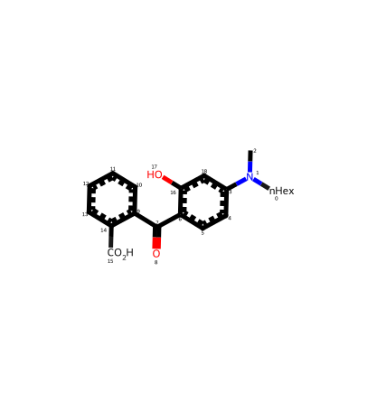 CCCCCCN(C)c1ccc(C(=O)c2ccccc2C(=O)O)c(O)c1